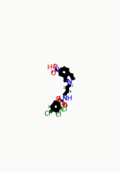 O=[N+](O)c1ccc2c(c1)CN(CCCCNS(=O)(=O)c1ccc(Cl)c(Cl)c1Cl)CC2